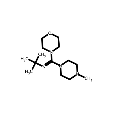 CN1CCN(C(=NC(C)(C)C)N2CCOCC2)CC1